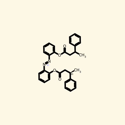 CC(CC(=O)Oc1ccccc1/N=N/c1ccccc1OC(=O)C[C@@H](C)c1ccccc1)c1ccccc1